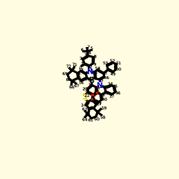 Cc1cc(C(C)(C)C)ccc1N1c2cc3c(cc2B2c4cc5sc6cc7c(cc6c5cc4N(c4ccccc4-c4ccccc4)c4cc(-c5ccccc5)cc1c42)C(C)(C)CCC7(C)C)C(C)(C)CCC3(C)C